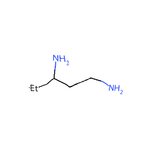 C[CH]C(N)CCN